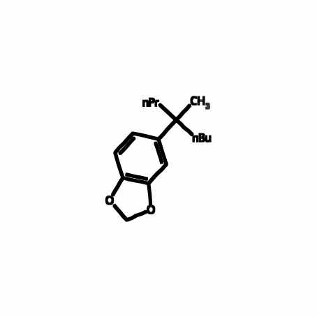 CCCCC(C)(CCC)c1ccc2c(c1)OCO2